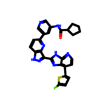 O=C(Nc1cncc(-c2ccc3[nH]nc(-c4nc5c(-c6ccc(F)s6)ccnc5[nH]4)c3n2)c1)C1CCCC1